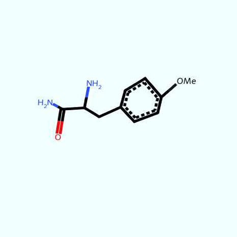 COc1ccc(CC(N)C(N)=O)cc1